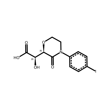 O=C(O)[C@H](O)[C@H]1OCCN(c2ccc(I)cc2)C1=O